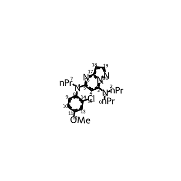 CCCN(CCC)c1cc(N(CCC)c2ccc(OC)cc2Cl)nc2ccnn12